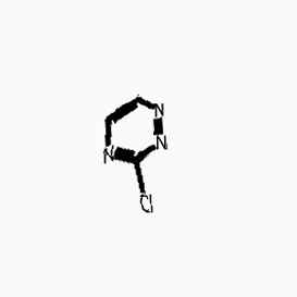 Clc1nc[c]nn1